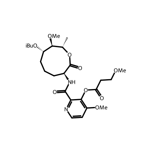 COCCC(=O)Oc1c(OC)ccnc1C(=O)N[C@H]1CCC[C@H](OCC(C)C)[C@@H](OC)[C@H](C)OC1=O